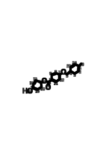 CC1=CCC(COc2ccc(C(=O)OC3C=CC(O)=CC3)cc2)C=C1